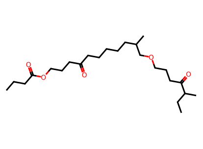 CCCC(=O)OCCCC(=O)CCCCCC(C)COCCCC(=O)C(C)CC